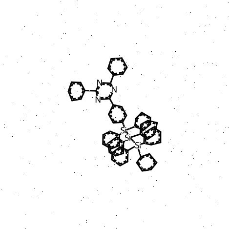 c1ccc(-c2nc(-c3ccccc3)nc(-c3ccc([Si](c4ccccc4)(c4ccccc4)[Si](c4ccccc4)(c4ccccc4)[Si](c4ccccc4)(c4ccccc4)c4ccccc4)cc3)n2)cc1